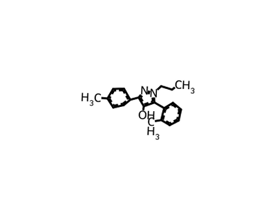 CCCn1nc(-c2ccc(C)cc2)c(O)c1-c1ccccc1C